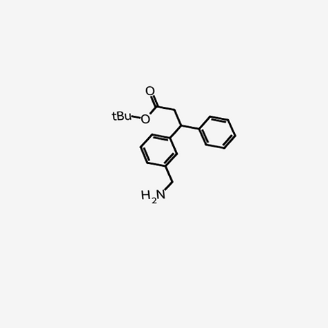 CC(C)(C)OC(=O)CC(c1ccccc1)c1cccc(CN)c1